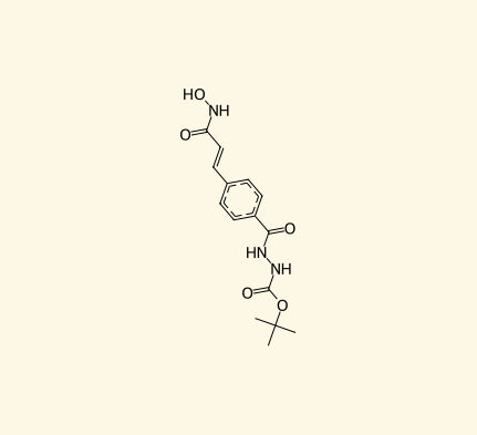 CC(C)(C)OC(=O)NNC(=O)c1ccc(C=CC(=O)NO)cc1